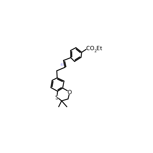 CCOC(=O)c1ccc(/C=C/Cc2ccc3c(c2)OCC(C)(C)S3)cc1